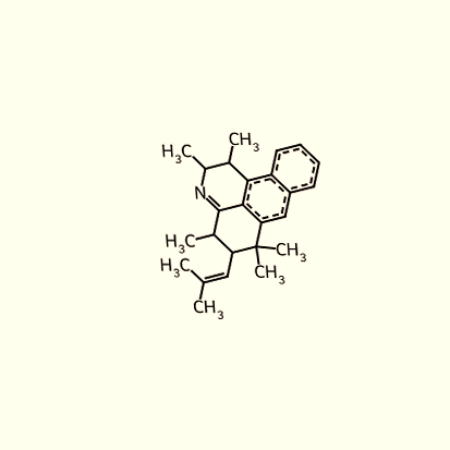 CC(C)=CC1C(C)C2=NC(C)C(C)c3c2c(cc2ccccc32)C1(C)C